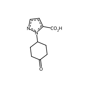 O=C1CCC(n2nccc2C(=O)O)CC1